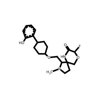 CN1CCC2(COC(F)C(=O)N2)C1COC1CCC(c2ccccc2O)CC1